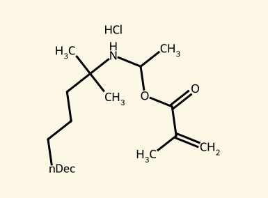 C=C(C)C(=O)OC(C)NC(C)(C)CCCCCCCCCCCCC.Cl